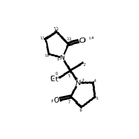 CCC(C)(N1CCCC1=O)N1CCCC1=O